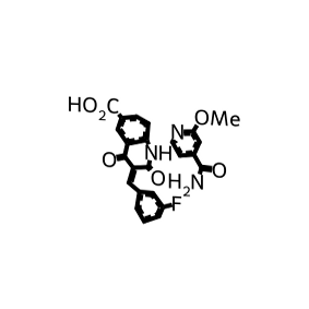 COc1cc(C(N)=O)ccn1.O=C1Nc2ccc(C(=O)O)cc2C(=O)/C1=C/c1cccc(F)c1